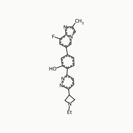 CCN1CC(c2ccc(-c3ccc(-c4cc(F)c5nc(C)cn5c4)cc3O)nn2)C1